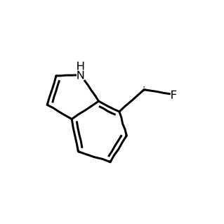 F[CH]c1cccc2cc[nH]c12